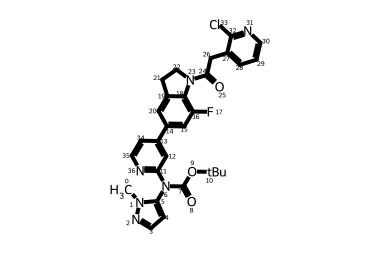 Cn1nccc1N(C(=O)OC(C)(C)C)c1cc(-c2cc(F)c3c(c2)CCN3C(=O)Cc2cccnc2Cl)ccn1